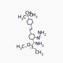 C=C/C=C(/OCC)C(N)c1ccc(/C=C/c2ccc(C(C)(C)C)cc2)cc1/N=C\N